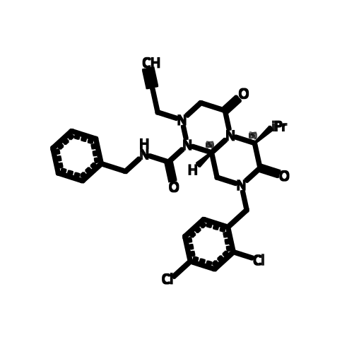 C#CCN1CC(=O)N2[C@@H](C(C)C)C(=O)N(Cc3ccc(Cl)cc3Cl)C[C@@H]2N1C(=O)NCc1ccccc1